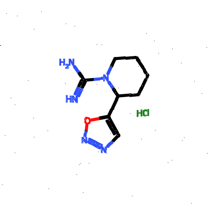 Cl.N=C(N)N1CCCCC1c1cnno1